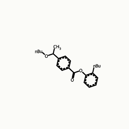 CCCCOC(C)c1ccc(C(=O)Oc2ccccc2CCCC)cc1